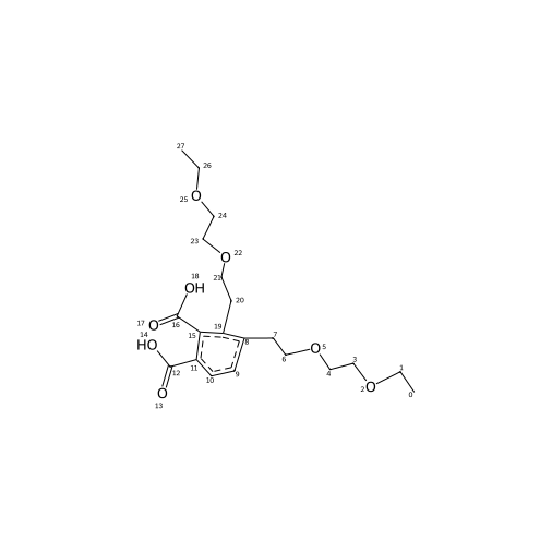 CCOCCOCCc1ccc(C(=O)O)c(C(=O)O)c1CCOCCOCC